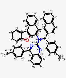 Bc1ccc(B2c3ccc4ccccc4c3-c3c(c4oc5ccccc5c4c4ccccc34)N2c2nc(-c3ccc(B)cc3)c3ccccc3n2)cc1